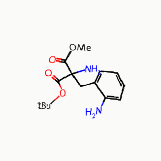 COC(=O)C(N)(Cc1ccccc1N)C(=O)OC(C)(C)C